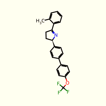 Cc1ccccc1C1=N[C@@H](c2ccc(-c3ccc(OC(F)(F)F)cc3)cc2)CC1